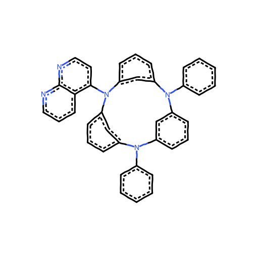 c1ccc(N2c3cccc(c3)N(c3ccccc3)c3cccc(c3)N(c3ccnc4ncccc34)c3cccc2c3)cc1